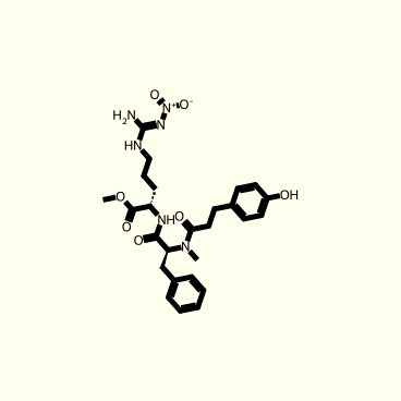 COC(=O)[C@H](CCCNC(N)=N[N+](=O)[O-])NC(=O)[C@H](Cc1ccccc1)N(C)C(=O)CCc1ccc(O)cc1